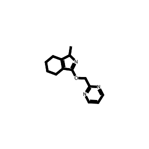 CC1N=C(OCc2ncccn2)C2=C1CCCC2